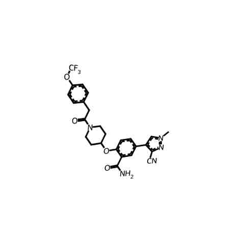 Cn1cc(-c2ccc(OC3CCN(C(=O)Cc4ccc(OC(F)(F)F)cc4)CC3)c(C(N)=O)c2)c(C#N)n1